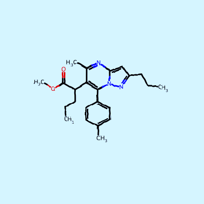 CCCc1cc2nc(C)c(C(CCC)C(=O)OC)c(-c3ccc(C)cc3)n2n1